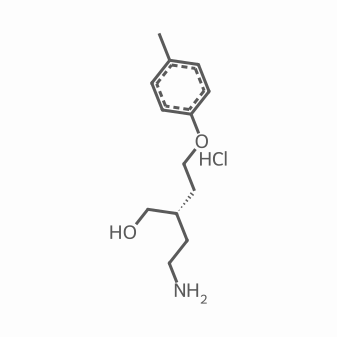 Cc1ccc(OCC[C@@H](CO)CCN)cc1.Cl